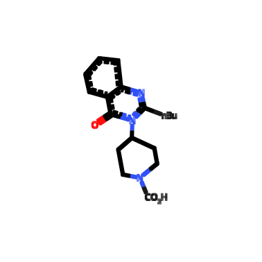 CCCCc1nc2ccccc2c(=O)n1C1CCN(C(=O)O)CC1